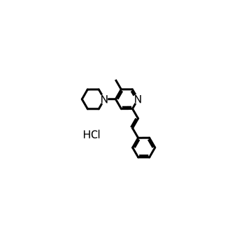 Cc1cnc(C=Cc2ccccc2)cc1N1CCCCC1.Cl